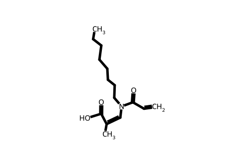 C=CC(=O)N(C=C(C)C(=O)O)CCCCCCCC